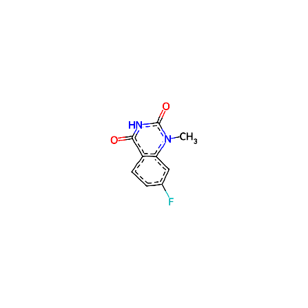 Cn1c(=O)[nH]c(=O)c2ccc(F)cc21